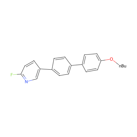 CCCCOc1ccc(-c2ccc(-c3ccc(F)nc3)cc2)cc1